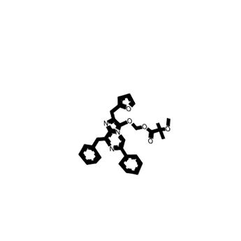 COC(C)(C)C(=O)OCOc1c(Cc2ccco2)nc2c(Cc3ccccc3)nc(-c3ccccc3)cn12